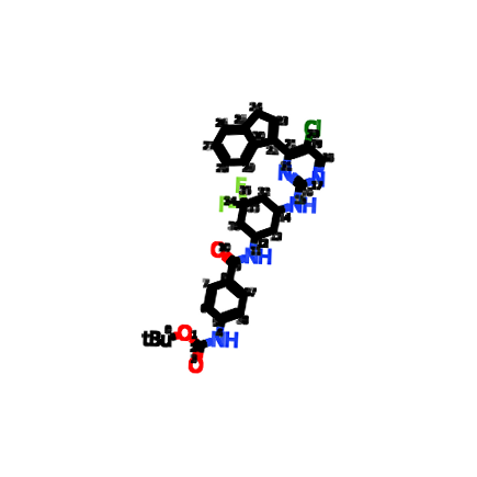 CC(C)(C)OC(=O)Nc1ccc(C(=O)NC2CC(Nc3ncc(Cl)c(C4=CCc5ccccc54)n3)CC(F)(F)C2)cc1